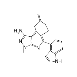 C=C1CCc2c(-c3cccc4[nH]ccc34)nc3[nH]nc(N)c3c2C1